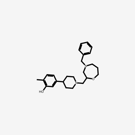 Cc1ccc(C2CCN(CC3CN(Cc4ccccc4)CCCO3)CC2)cc1O